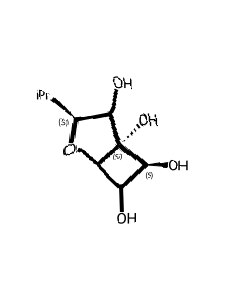 CC(C)[C@@H]1OC2C(O)[C@H](O)[C@]2(O)C1O